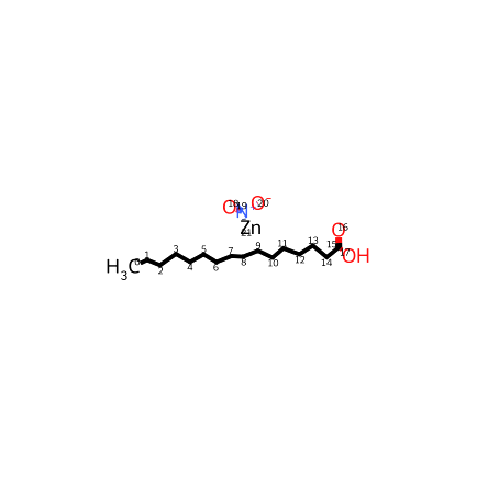 CCCCCCCCCCCCCCCC(=O)O.O=[N+]([O-])[Zn]